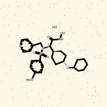 COc1ccc(S(=O)(=O)N(Cc2ccncc2)[C@@H](C(=O)NO)[C@H]2CC[C@H](OC3CCCCC3)CC2)cc1.Cl